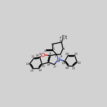 C=C1CC(CC)CCC12c1oc3ccccc3c1CN2c1ccccc1